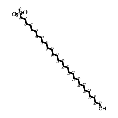 C[Si](Cl)(Cl)CCCCCCCCCCCCCCCCCCCCCCCCCCCCCCO